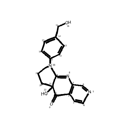 O=C1c2ccncc2N=C2N(c3ccc(CO)cc3)CCC12O